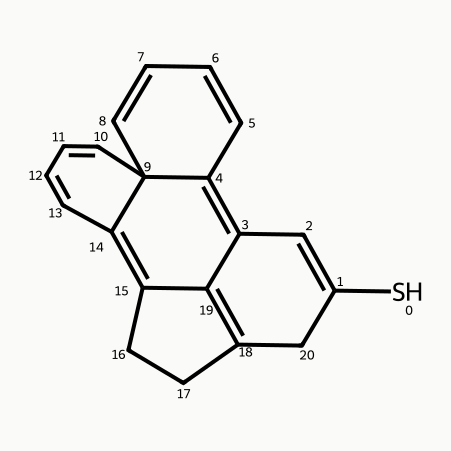 SC1=CC2=C3C=CC=CC34C=CC=CC4=C3CCC(=C23)C1